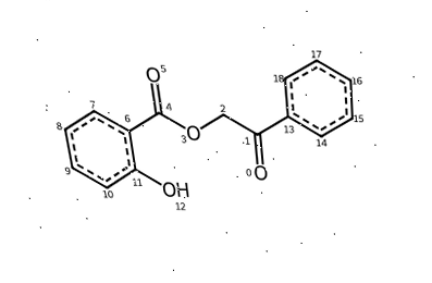 O=C(COC(=O)c1ccccc1O)c1ccccc1